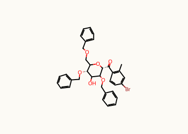 Cc1cc(Br)ccc1C(=O)[C@H]1OC(COCc2ccccc2)[C@@H](OCc2ccccc2)C(O)C1OCc1ccccc1